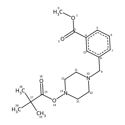 COC(=O)c1cccc(CN2CCN(OC(=O)C(C)(C)C)CC2)c1